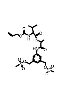 C=CCOC(=O)NC(C(=O)NC(C)C(=O)Nc1cc(COS(C)(=O)=O)cc(COS(C)(=O)=O)c1)C(C)C